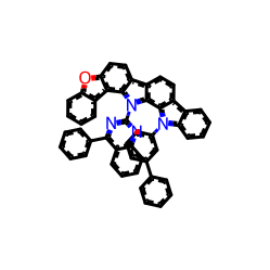 c1ccc(-c2cccc(-n3c4ccccc4c4ccc5c6ccc7oc8ccccc8c7c6n(-c6nc(-c7ccccc7)c7ccccc7n6)c5c43)c2)cc1